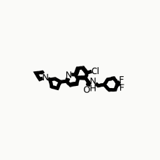 O=C(NCC1CCC(F)(F)CC1)c1c(Cl)ccc2nc(C3CCC(N4CCC4)C3)ccc12